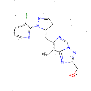 CCCc1c(CC2CC=NN2c2ncccc2F)ncn2nc(CO)nc12